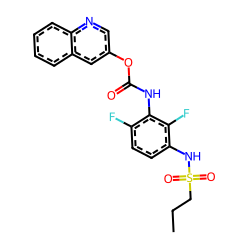 CCCS(=O)(=O)Nc1ccc(F)c(NC(=O)Oc2cnc3ccccc3c2)c1F